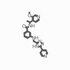 COc1cnccc1C(C)NC(=O)c1cccc(NCc2nnc(-c3ccncc3)[nH]2)c1